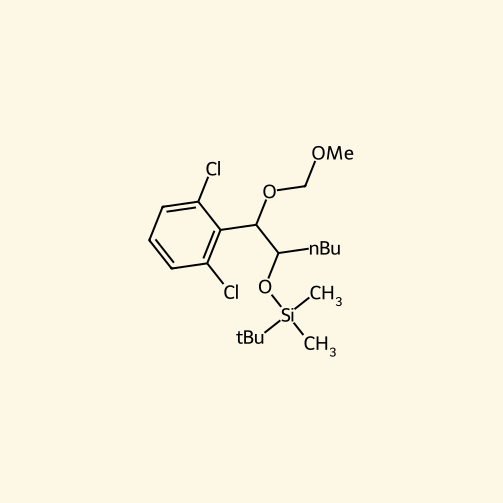 CCCCC(O[Si](C)(C)C(C)(C)C)C(OCOC)c1c(Cl)cccc1Cl